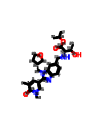 Cc1cc(-c2nc3ccc(CN[C@H](C(=O)OC(C)C)[C@@H](C)O)cc3n2C[C@@H]2CCOC2)cn(C)c1=O